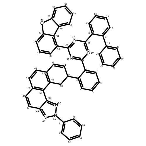 C1=CC(c2ccccc2-c2nc(-c3ccccc3-c3ccccc3)nc(-c3cccc4oc5ccccc5c34)n2)Cc2c1ccc1ccc3nn(-c4ccccc4)nc3c21